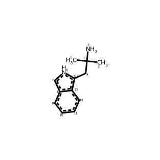 CC(C)(N)Cc1[nH]cc2ccccc12